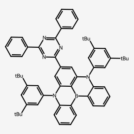 CC(C)(C)c1cc(N2c3ccccc3B3c4ccccc4N(c4cc(C(C)(C)C)cc(C(C)(C)C)c4)c4cc(-c5nc(-c6ccccc6)nc(-c6ccccc6)n5)cc2c43)cc(C(C)(C)C)c1